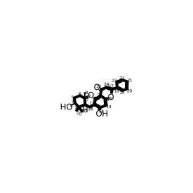 CC1(C)[C@@H](O)CC[C@]2(C)Oc3c(c(O)cc4oc(-c5ccccc5)cc(=O)c34)C[C@@H]12